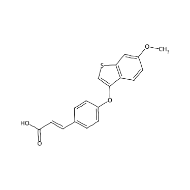 COc1ccc2c(Oc3ccc(C=CC(=O)O)cc3)csc2c1